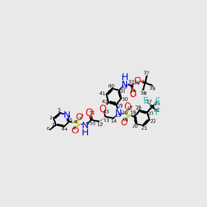 Cc1ccnc(S(=O)(=O)NC(=O)C[C@H]2CN(S(=O)(=O)c3cccc(C(F)(F)F)c3)c3cc(NC(=O)OC(C)(C)C)ccc3O2)c1